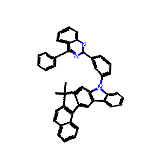 CC1(C)c2cc3c(cc2-c2c1ccc1ccccc21)c1ccccc1n3-c1cccc(-c2nc(-c3ccccc3)c3ccccc3n2)c1